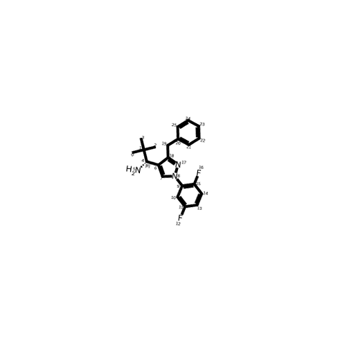 CC(C)(C)[C@@H](N)c1cn(-c2cc(F)ccc2F)nc1Cc1ccccc1